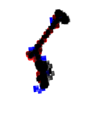 C[C@]1(C(=O)NC(=O)[C@@]2(C)CCCC3c4cc(N)ccc4CC[C@H]32)CCC[C@]2(C)c3cc(NC(=O)CNC(=O)[C@H](CCC(=O)O)NC(=O)CCOCCOCCOCCOCCNC(=O)CCC(=O)N4Cc5ccccc5C#Cc5ccccc54)ccc3CCC12